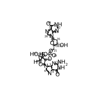 Nc1nc2c(ncn2[C@@H]2O[C@@H]3C(O)[C@]3(F)[C@H]2OP(=O)(O)OC[C@H]2O[C@@H](n3cnc4c(=O)[nH]cnc43)C[C@@H]2O)c(=O)[nH]1